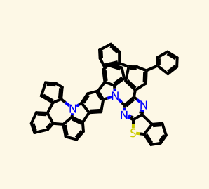 c1ccc(-c2cc(-c3ccccc3)cc(-c3nc4c(nc3-n3c5ccccc5c5cc6c(cc53)c3cccc5c3n6-c3ccccc3-c3ccccc3-5)sc3ccccc34)c2)cc1